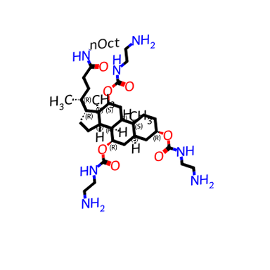 CCCCCCCCNC(=O)CC[C@@H](C)[C@H]1CC[C@H]2[C@@H]3[C@H](OC(=O)NCCN)C[C@@H]4C[C@H](OC(=O)NCCN)CC[C@]4(C)[C@H]3C[C@H](OC(=O)NCCN)[C@]12C